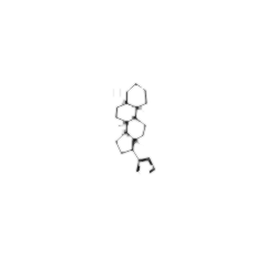 C[C@]12CCCC[C@H]1CC[C@H]1[C@H]3CCC(c4ccoc4)[C@@]3(C)CC[C@@H]12